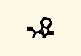 CC(S)[n+]1n[nH]c2ccccc21